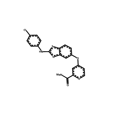 CNC(=O)c1cc(Oc2ccc3sc(Nc4ccc(Cl)cc4)nc3c2)ccn1